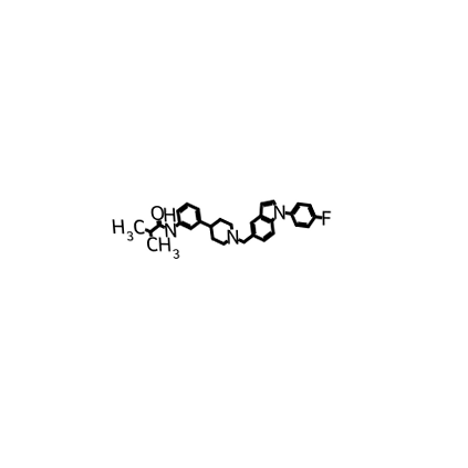 CC(C)C(=O)Nc1cccc(C2CCN(Cc3ccc4c(ccn4-c4ccc(F)cc4)c3)CC2)c1